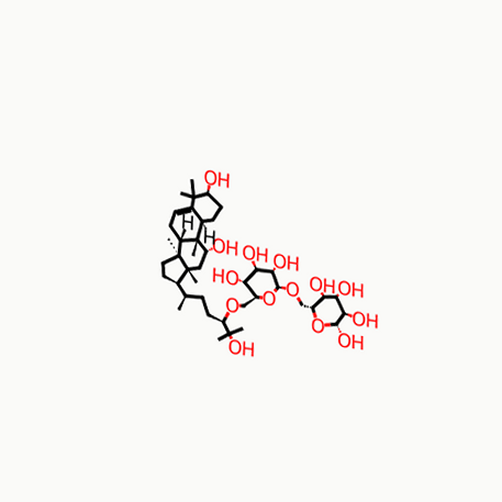 C[C@H](CC[C@@H](OC[C@@H]1O[C@H](OC[C@H]2O[C@@H](O)[C@H](O)[C@@H](O)[C@@H]2O)[C@@H](O)[C@H](O)[C@H]1O)C(C)(C)O)[C@H]1CC[C@@]2(C)[C@@H]3CC=C4[C@@H](CC[C@H](O)C4(C)C)[C@]3(C)[C@H](O)C[C@]12C